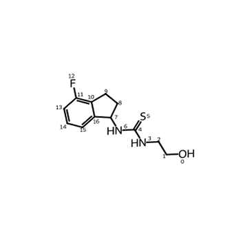 OCCNC(=S)NC1CCc2c(F)cccc21